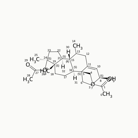 CC(=O)OC[C@]12CC[C@H](O)C=C1CC(C)[C@@H]1[C@@H]2CC[C@@]2(C)[C@H]1CC[C@]2(C)OC(C)=O